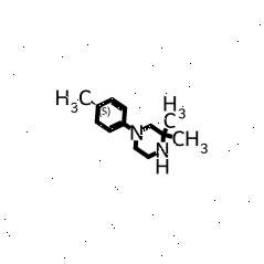 C[C@@H]1C=CC(N2CCNC(C)(C)C2)=CC1